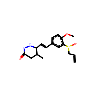 C=CC[S+]([O-])c1cc(/C=C/C2NNC(=O)CC2C)ccc1OC